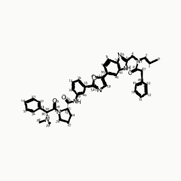 CCCN(Cc1nc2ccc(-c3cnc(-c4cccc(NC(=O)[C@@H]5CCCN5C(=O)[C@@H](c5ccccc5)N(C)C)c4)o3)cc2[nH]1)C(=O)Cc1ccccc1